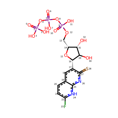 O=P(O)(O)OP(=O)(O)OP(=O)(O)OC[C@H]1O[C@@H](c2cc3ccc(F)[nH]c-3nc2=S)C(O)[C@H]1O